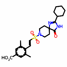 Cc1cc(C(=O)O)cc(C)c1C=CS(=O)(=O)N1CCC2(CC1)N=C(C1CCCCC1)NC2=O